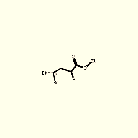 CCOC(=O)C(Br)C[C@H](Br)CC